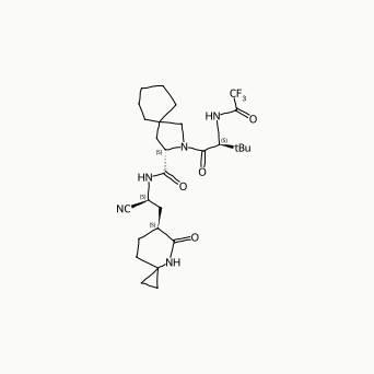 CC(C)(C)[C@H](NC(=O)C(F)(F)F)C(=O)N1CC2(CCCCC2)C[C@H]1C(=O)N[C@H](C#N)C[C@@H]1CCC2(CC2)NC1=O